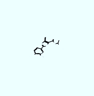 Cc1nc(-c2ccc(OCC(C)C)c(C#N)c2)sc1C(=O)NC(C)C(=O)O